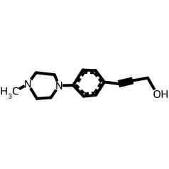 CN1CCN(c2ccc(C#CCO)cc2)CC1